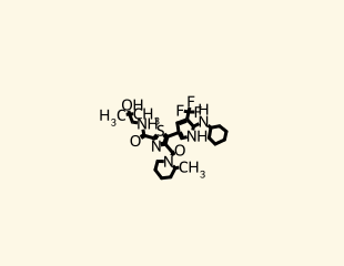 CC1CCCCN1C(=O)c1nc(C(=O)NCC(C)(C)O)sc1C1=CNC(NC2CCCCC2)C(C(F)(F)F)=C1